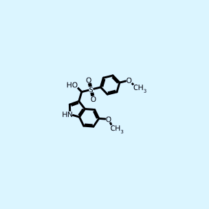 COc1ccc(S(=O)(=O)C(O)c2c[nH]c3ccc(OC)cc23)cc1